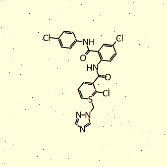 O=C(Nc1ccc(Cl)cc1C(=O)Nc1ccc(Cl)cc1)C1=CC=CS(Cn2cncn2)=C1Cl